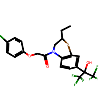 CCC1CN(C(=O)COc2ccc(Cl)cc2)c2ccc(C(O)(C(F)(F)F)C(F)(F)F)cc2S1